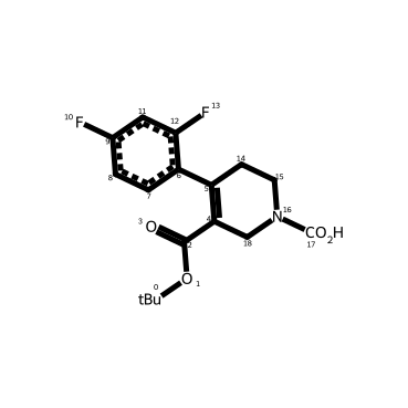 CC(C)(C)OC(=O)C1=C(c2ccc(F)cc2F)CCN(C(=O)O)C1